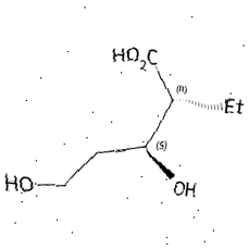 CC[C@@H](C(=O)O)[C@@H](O)CCO